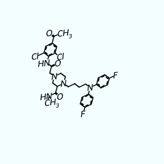 CNC(=O)C1CN(CC(=O)Nc2c(Cl)cc(C(C)=O)cc2Cl)CCN1CCCCN(c1ccc(F)cc1)c1ccc(F)cc1